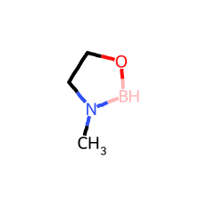 CN1BOCC1